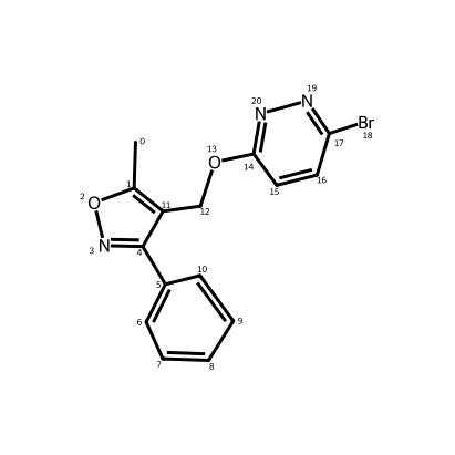 Cc1onc(-c2ccccc2)c1COc1ccc(Br)nn1